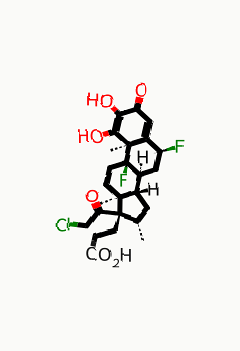 C[C@H]1C[C@H]2[C@@H]3C[C@H](F)C4=CC(=O)C(O)=C(O)[C@]4(C)[C@@]3(F)CC[C@]2(C)[C@@]1(CCC(=O)O)C(=O)CCl